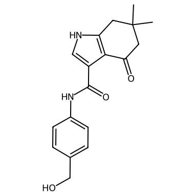 CC1(C)CC(=O)c2c(C(=O)Nc3ccc(CO)cc3)c[nH]c2C1